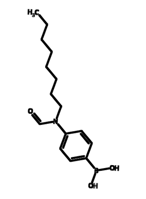 CCCCCCCCN(C=O)c1ccc(B(O)O)cc1